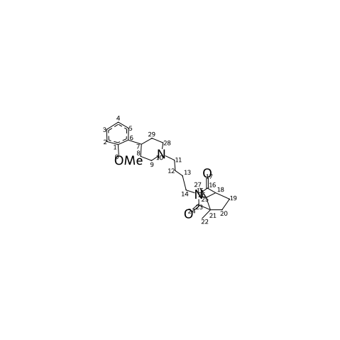 COc1ccccc1C1CCN(CCCCN2C(=O)C3CCC(C)(C2=O)C3(C)C)CC1